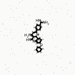 N=C(N)c1ccc(-c2cc(N)c(C(=N)N)c(-c3ccc(Oc4ccccc4)cc3)n2)cc1